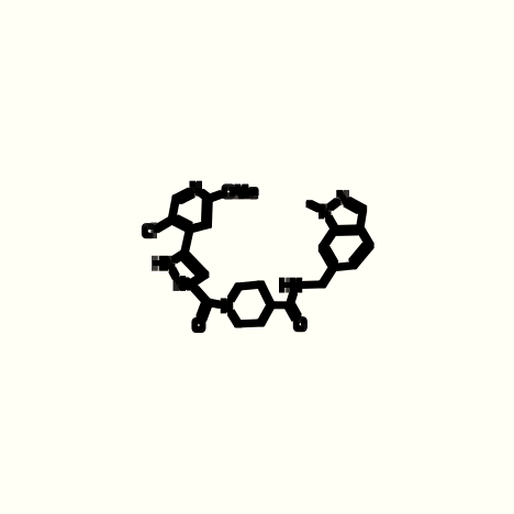 COc1cc(-c2cc(C(=O)N3CCC(C(=O)NCc4ccc5cnn(C)c5c4)CC3)n[nH]2)c(Cl)cn1